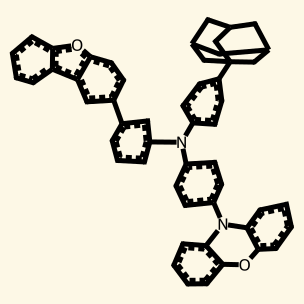 c1cc(-c2ccc3oc4ccccc4c3c2)cc(N(c2ccc(N3c4ccccc4Oc4ccccc43)cc2)c2ccc(C34CC5CC(CC(C5)C3)C4)cc2)c1